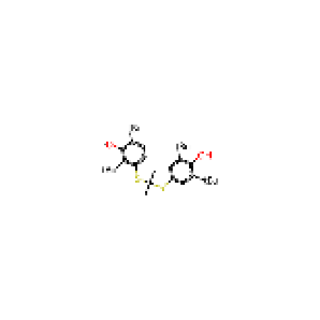 CC(C)(Sc1cc(C(C)(C)C)c(O)c(C(C)(C)C)c1)Sc1ccc(C(C)(C)C)c([O])c1C(C)(C)C